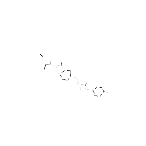 O=C1CCC(N2Cc3ccc(CNC(=O)Nc4ccc(Cl)cc4)cc3C2=O)C(=O)N1